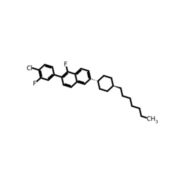 CCCCCCC[C@H]1CC[C@H](c2ccc3c(F)c(-c4ccc(Cl)c(F)c4)ccc3c2)CC1